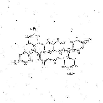 [C-]#[N+]c1ccc(N(c2ccc(C(C)C)cc2)c2cc(C)c3ccc4c(N(c5ccc(C#N)cc5)c5ccc(C(C)C)cc5)ccc5ccc2c3c54)cc1